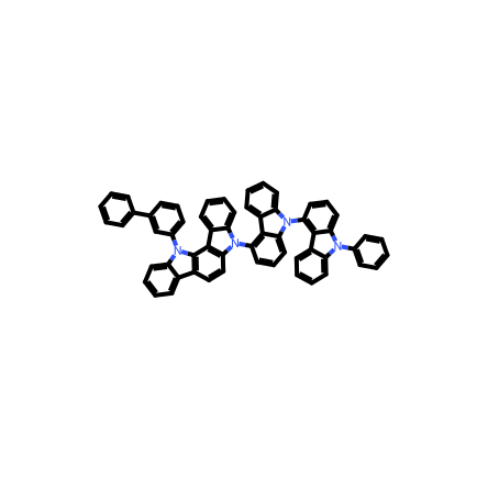 c1ccc(-c2cccc(-n3c4ccccc4c4ccc5c(c6ccccc6n5-c5cccc6c5c5ccccc5n6-c5cccc6c5c5ccccc5n6-c5ccccc5)c43)c2)cc1